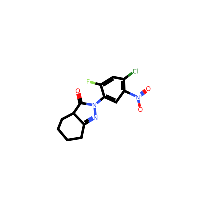 O=C1C2CCCCC2=NN1c1cc([N+](=O)[O-])c(Cl)cc1F